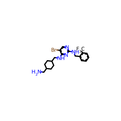 NCC1CCC(CNc2nc(NCc3ccccc3C(F)(F)F)ncc2Br)CC1